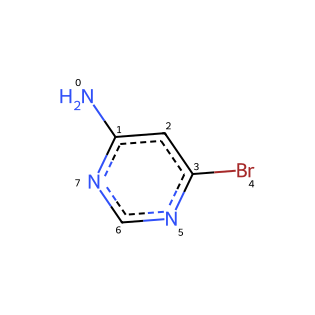 Nc1cc(Br)ncn1